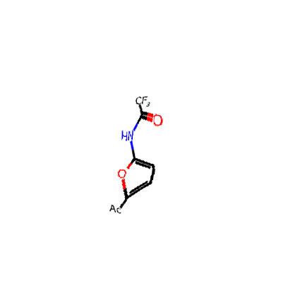 CC(=O)c1ccc(NC(=O)C(F)(F)F)o1